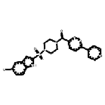 O=C(c1ccc(-c2ccncc2)nn1)N1CCN(S(=O)(=O)c2cc3cc(Cl)ccc3[nH]2)CC1